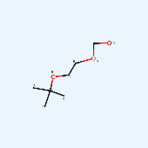 CC(C)(C)OCCOC[O]